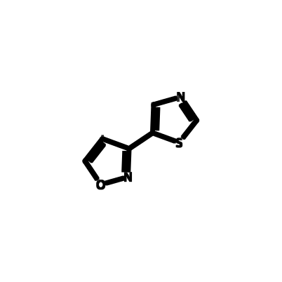 [c]1conc1-c1cncs1